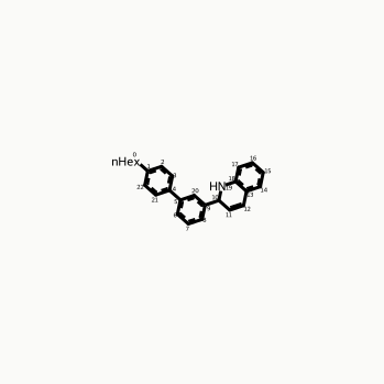 CCCCCCc1ccc(-c2cccc(C3C=Cc4ccccc4N3)c2)cc1